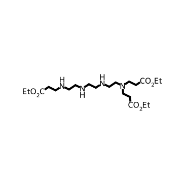 CCOC(=O)CCNCCNCCNCCN(CCC(=O)OCC)CCC(=O)OCC